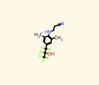 Cc1cc(C(F)(F)C(O)(F)C(F)(F)F)cc(C)c1NCCC#N